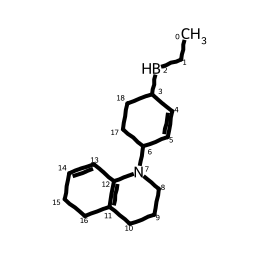 CCBC1C=CC(N2CCCC3=C2C=CCC3)CC1